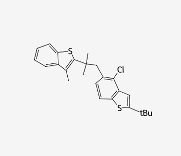 Cc1c(C(C)(C)Cc2ccc3sc(C(C)(C)C)cc3c2Cl)sc2ccccc12